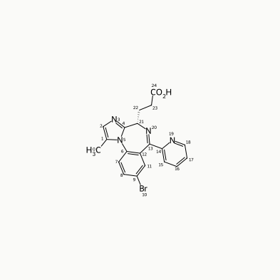 Cc1cnc2n1-c1ccc(Br)cc1C(c1ccccn1)=N[C@H]2CCC(=O)O